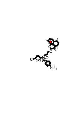 C[C@H]1[C@@H](OCCCN(c2ccc(Cl)nn2)S(=O)(=O)c2ccc(N)cc2)O[C@@H]2O[C@@]3(C)CCC4[C@H](C)CC[C@@H]1[C@]42OO3